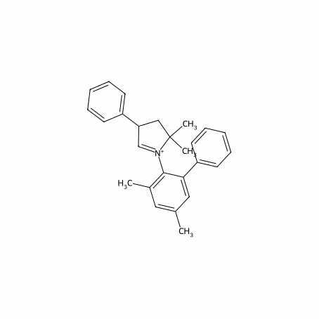 Cc1cc(C)c([N+]2=CC(c3ccccc3)CC2(C)C)c(-c2ccccc2)c1